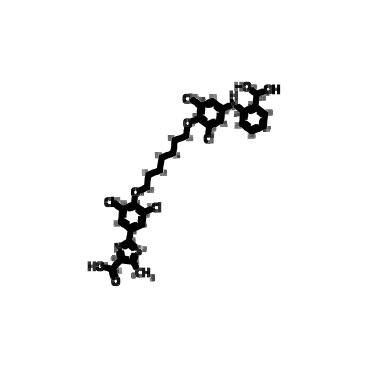 Cc1sc(-c2cc(Cl)c(OCCCCCCCOc3c(Cl)cc(Nc4ccccc4C(O)O)cc3Cl)c(Cl)c2)nc1C(=O)O